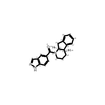 O=C(c1ccc2[nH]ncc2c1)N1CCC[C@@H]2c3ccccc3C[C@@H]21